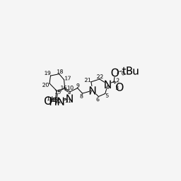 CC(C)(C)OC(=O)N1CCN(CCc2n[nH]c(=O)c3c2CCCC3)CC1